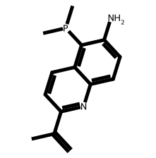 C=C(C)c1ccc2c(P(C)C)c(N)ccc2n1